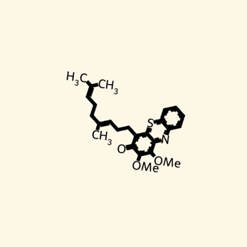 COc1c2nc3ccccc3sc-2c(CC/C=C(\C)CCC=C(C)C)c(=O)c1OC